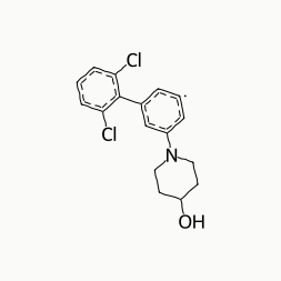 OC1CCN(c2c[c]cc(-c3c(Cl)cccc3Cl)c2)CC1